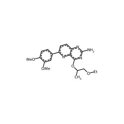 CCOCC(C)Oc1nc(N)nc2ccc(-c3ccc(OC)c(OC)c3)nc12